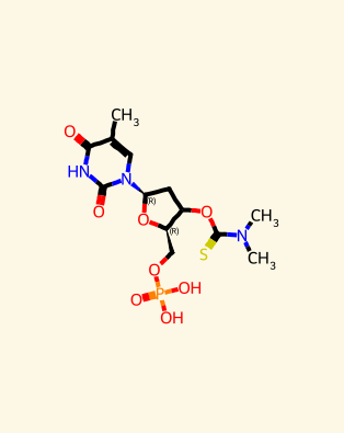 Cc1cn([C@H]2CC(OC(=S)N(C)C)[C@@H](COP(=O)(O)O)O2)c(=O)[nH]c1=O